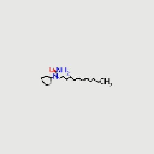 CCCCCCCCCCCCN(C(N)=O)C1CCCCC1